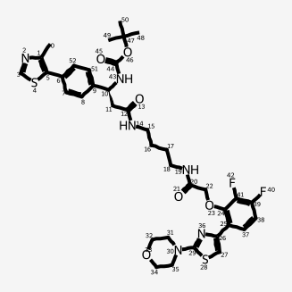 Cc1ncsc1-c1ccc([C@H](CC(=O)NCCCCNC(=O)COc2c(-c3csc(N4CCOCC4)n3)ccc(F)c2F)NC(=O)OC(C)(C)C)cc1